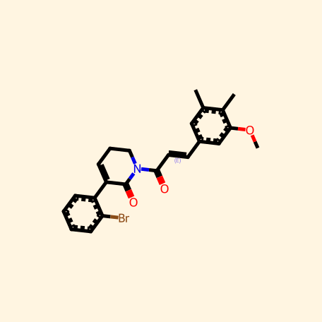 COc1cc(/C=C/C(=O)N2CCC=C(c3ccccc3Br)C2=O)cc(C)c1C